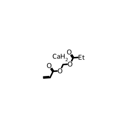 C=CC(=O)OCOC(=O)CC.[CaH2]